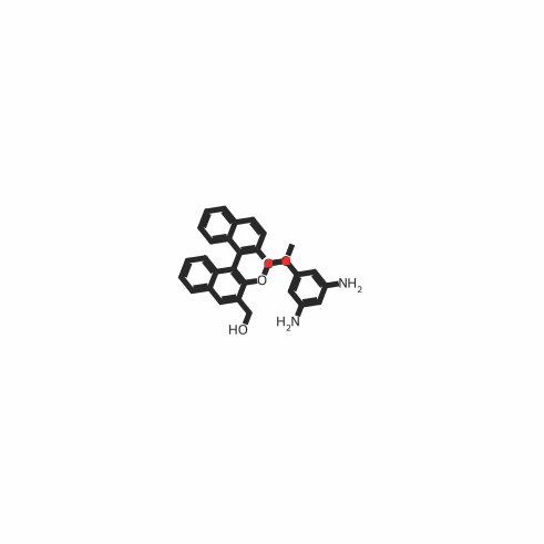 COCOc1c(CO)cc2ccccc2c1-c1c(OCc2cc(N)cc(N)c2)ccc2ccccc12